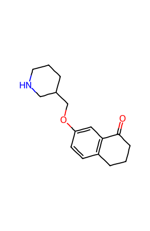 O=C1CCCc2ccc(OCC3CCCNC3)cc21